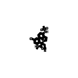 CNC(=O)C(CC#N)(c1ccc(Cl)cc1)n1ccc2c(NS(C)(=O)=O)cccc21